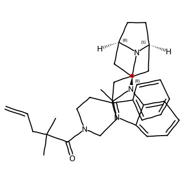 C=CCC(C)(C)C(=O)N1CCC(CCN2[C@@H]3CC[C@H]2C[C@@H](n2c(C)nc4ccccc42)C3)(c2ccccc2)CC1